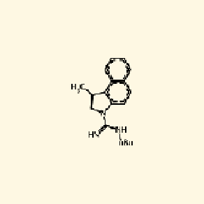 CCCCNC(=N)N1CC(C)c2c1ccc1ccccc21